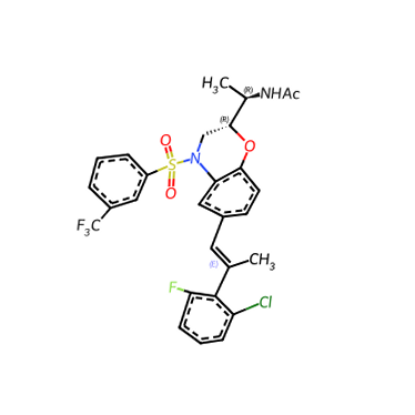 CC(=O)N[C@H](C)[C@H]1CN(S(=O)(=O)c2cccc(C(F)(F)F)c2)c2cc(/C=C(\C)c3c(F)cccc3Cl)ccc2O1